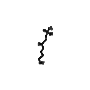 CP(=O)(O)CCC(=O)CCCCO